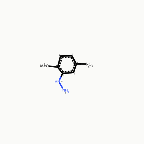 COc1ccc([N+](=O)[O-])cc1NN